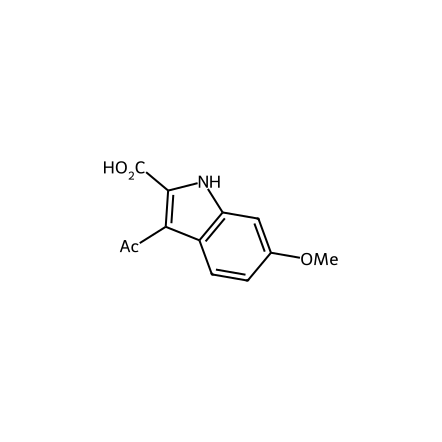 COc1ccc2c(C(C)=O)c(C(=O)O)[nH]c2c1